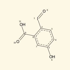 O=Ic1ccc(O)cc1C(=O)O